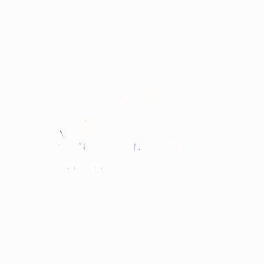 O=C(/C=C/c1ncc(OCc2ccccc2)cc1C1OCCO1)N1C(=O)OC[C@H]1c1ccccc1